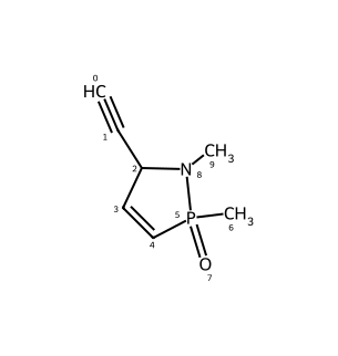 C#CC1C=CP(C)(=O)N1C